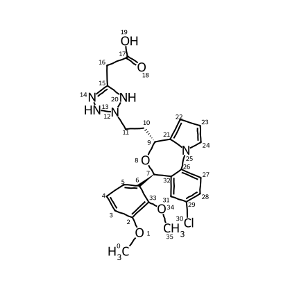 COc1cccc([C@H]2O[C@H](CCN3NN=C(CC(=O)O)N3)c3cccn3-c3ccc(Cl)cc32)c1OC